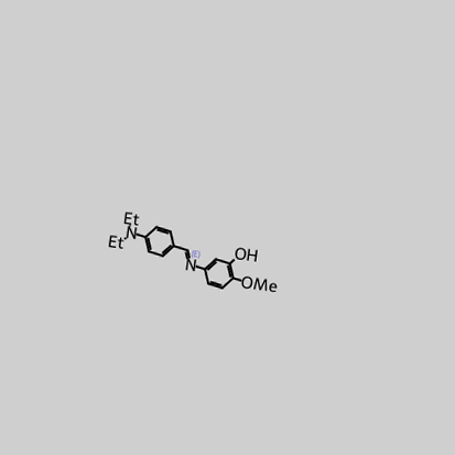 CCN(CC)c1ccc(/C=N/c2ccc(OC)c(O)c2)cc1